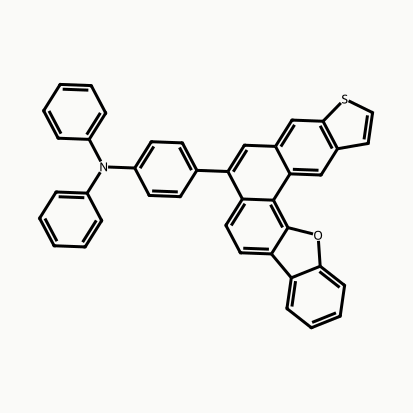 c1ccc(N(c2ccccc2)c2ccc(-c3cc4cc5sccc5cc4c4c3ccc3c5ccccc5oc34)cc2)cc1